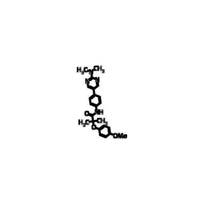 COc1ccc(OC(C)(C)C(=O)Nc2ccc(-c3cnc(N(C)C)nc3)cc2)cc1